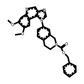 COc1cc2ncc3ncn(-c4ccc5c(c4)CN(C(=O)OCc4ccccc4)CC5)c3c2cc1OC